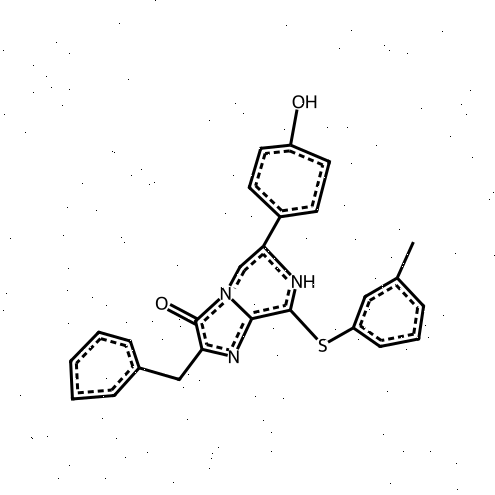 Cc1cccc(Sc2[nH]c(-c3ccc(O)cc3)cn3c(=O)c(Cc4ccccc4)nc2-3)c1